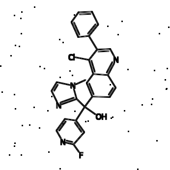 Cn1ccnc1C(O)(c1ccnc(F)c1)c1ccc2ncc(-c3ccccc3)c(Cl)c2c1